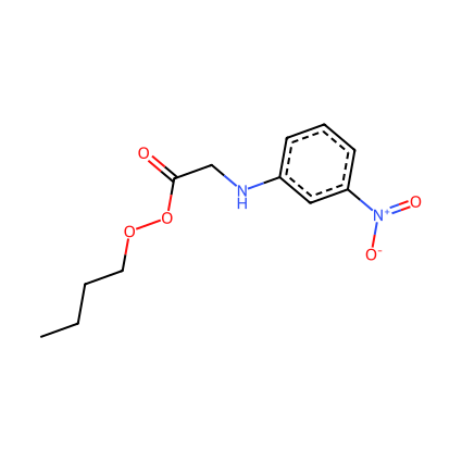 CCCCOOC(=O)CNc1cccc([N+](=O)[O-])c1